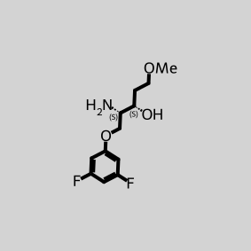 COCC[C@H](O)[C@@H](N)COc1cc(F)cc(F)c1